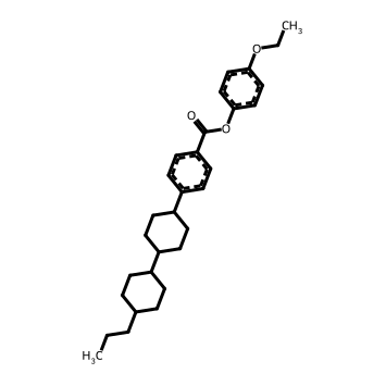 CCCC1CCC(C2CCC(c3ccc(C(=O)Oc4ccc(OCC)cc4)cc3)CC2)CC1